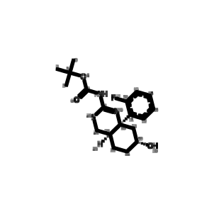 CC(C)(C)OC(=O)NC1=N[C@@]2(c3ccccc3F)C[C@H](O)CC[C@H]2CS1